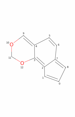 C1=Cc2c3c(ccc2=C1)=COCO3